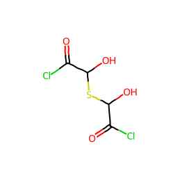 O=C(Cl)C(O)SC(O)C(=O)Cl